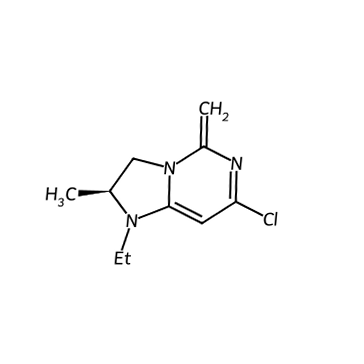 C=C1N=C(Cl)C=C2N1C[C@H](C)N2CC